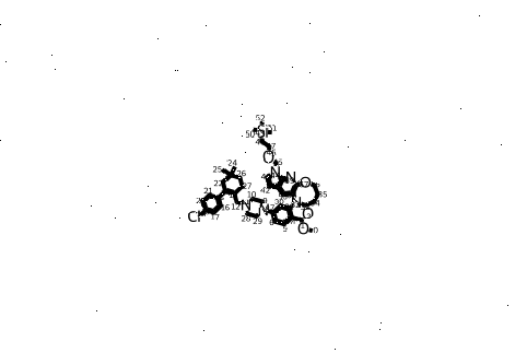 COC(=O)c1ccc(N2CCN(CC3=C(c4ccc(Cl)cc4)CC(C)(C)CC3)CC2)cc1N1CCCCOc2nc3c(ccn3COCC[Si](C)(C)C)cc21